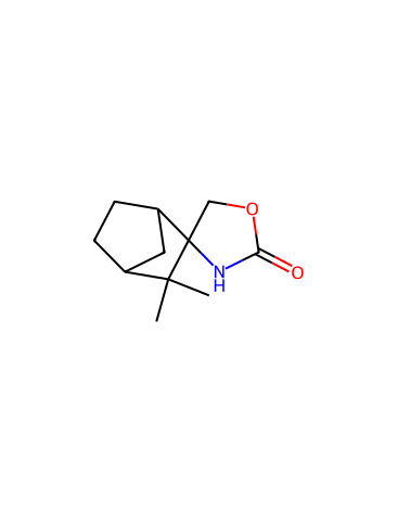 CC1(C)C2CCC(C2)C12COC(=O)N2